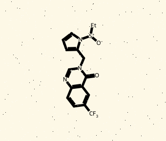 CC[S+]([O-])n1cccc1Cn1cnc2ccc(C(F)(F)F)cc2c1=O